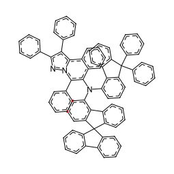 c1ccc(-c2nn3c(-c4ccccc4)c(N(c4cccc5c4-c4ccccc4C5(c4ccccc4)c4ccccc4)c4cccc5c4-c4ccccc4C54c5ccccc5-c5ccccc54)c4ccccc4c3c2-c2ccccc2)cc1